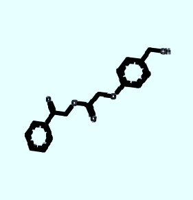 O=C(COc1ccc(CO)cc1)OCC(=O)c1ccccc1